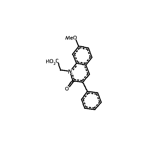 COc1ccc2cc(-c3ccccc3)c(=O)n(CC(=O)O)c2c1